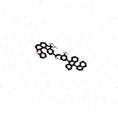 C/C(=C\c1ccc(-c2c3ccccc3c(-c3cccc4ccccc34)c3ccccc23)cc1C)c1ccc2c(c1)C(C)(C)c1ccc3ccc4oc5ccccc5c4c3c1-2